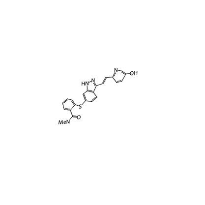 CNC(=O)c1ccccc1Sc1ccc2c(/C=C/c3ccc(O)cn3)n[nH]c2c1